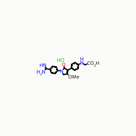 COC1=C(c2ccc(NCC(=O)O)cc2)C(=O)N(c2ccc(C(=N)N)cc2)C1.Cl